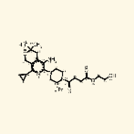 CC(C)[C@@H]1CN(c2nc(C3CC3)c3c(c2N)CC(C)(C)OC3)CCN1C(=O)CCC(=O)OCCO